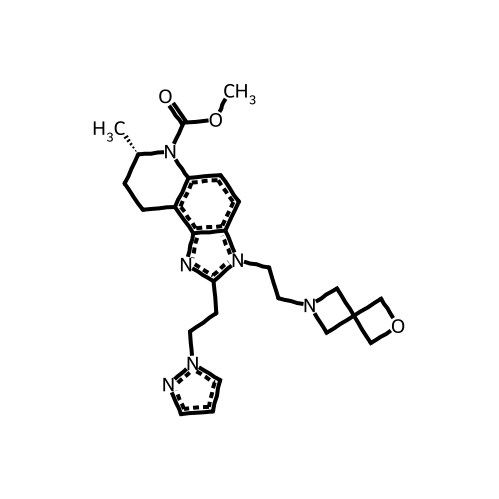 COC(=O)N1c2ccc3c(nc(CCn4cccn4)n3CCN3CC4(COC4)C3)c2CC[C@@H]1C